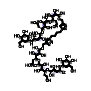 CC[C@@H](/C=C(\O)[C@@H](O)O[C@@H](CCO)/C(O)=C(\O)[C@@H](O)O[C@@H](CCO)/C(O)=C(\O)[C@H](O)OCc1cn(CCCCn2cc(CO[C@H](O)/C(O)=C(/O)[C@@H](CCO)O[C@@H](O)/C(O)=C(\O)[C@@H](CCO)O[C@@H](O)/C(O)=C\[C@@H](CC)N[C@H]3C=C(CO)[C@@H](O)[C@H](O)[C@@H]3O)nn2)nn1)N[C@@H]1C=C(CO)[C@H](O)[C@@H](O)[C@@H]1O